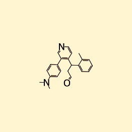 Cc1ccccc1C(CC=O)c1ccncc1-c1ccc(N(C)C)cc1